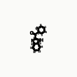 O=C(c1ccccn1)c1nc2ccccc2[nH]1